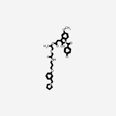 COc1ccc2c(c1)c(CC(=O)OC(C)CSCC(=O)NCCCOc1cccc(CN3CCCC3)c1)c(C)n2C(=O)c1ccc(Cl)cc1